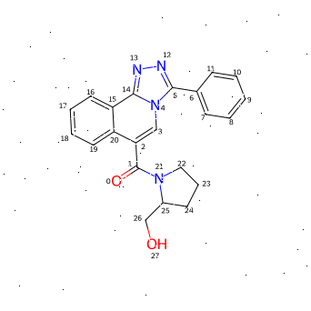 O=C(c1cn2c(-c3ccccc3)nnc2c2ccccc12)N1CCCC1CO